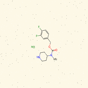 CCCN(C(=O)OCc1ccc(F)c(F)c1)C1CCNCC1.Cl